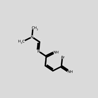 CN(C)/C=N/C(=N)/C=C\C(=N)Br